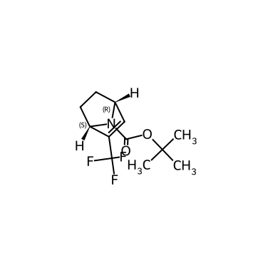 CC(C)(C)OC(=O)N1[C@H]2C=C(C(F)(F)F)[C@@H]1CC2